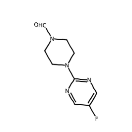 O=CN1CCN(c2ncc(F)cn2)CC1